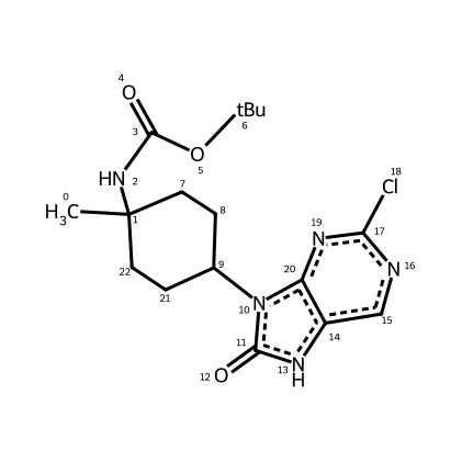 CC1(NC(=O)OC(C)(C)C)CCC(n2c(=O)[nH]c3cnc(Cl)nc32)CC1